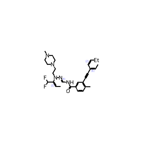 C/C=C(/C(F)F)N(CCN1CCN(C)CC1)/N=C/NC(=O)c1ccc(C)c(C#CC(/C=C\CC)=C/C)c1